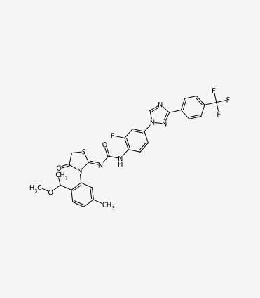 COC(C)c1ccc(C)cc1N1C(=O)CS/C1=N\C(=O)Nc1ccc(-n2cnc(-c3ccc(C(F)(F)F)cc3)n2)cc1F